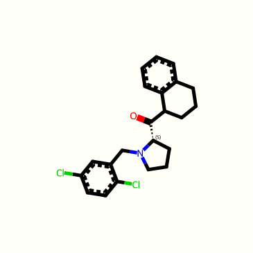 O=C(C1CCCc2ccccc21)[C@@H]1CCCN1Cc1cc(Cl)ccc1Cl